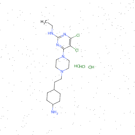 CCNc1nc(Cl)c(Cl)c(N2CCN(CCC3CCC(N)CC3)CC2)n1.Cl.Cl.Cl